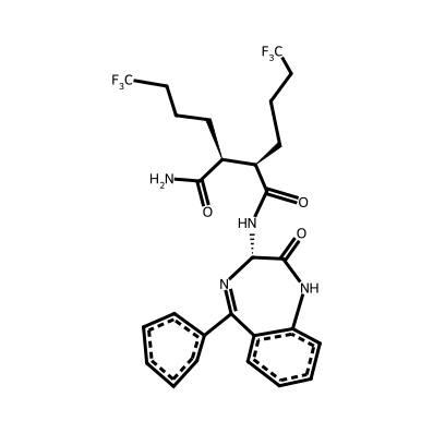 NC(=O)[C@@H](CCCC(F)(F)F)[C@@H](CCCC(F)(F)F)C(=O)N[C@H]1N=C(c2ccccc2)c2ccccc2NC1=O